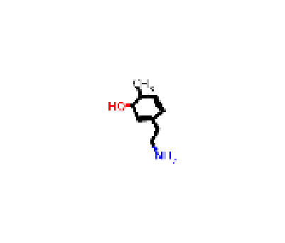 CC1C=CC(CCN)=CC1O